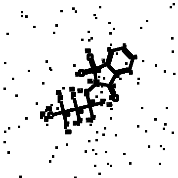 O=C1c2ccccc2S(=O)(=O)N1SC(F)(F)C(F)(F)C(F)(F)C(F)(F)F